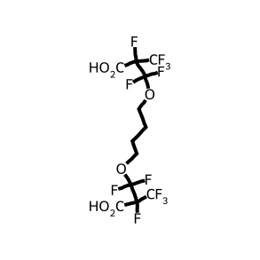 O=C(O)C(F)(C(F)(F)F)C(F)(F)OCCCCOC(F)(F)C(F)(C(=O)O)C(F)(F)F